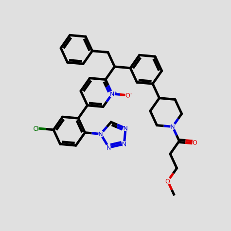 COCCC(=O)N1CCC(c2cccc(C(Cc3ccccc3)c3ccc(-c4cc(Cl)ccc4-n4cnnn4)c[n+]3[O-])c2)CC1